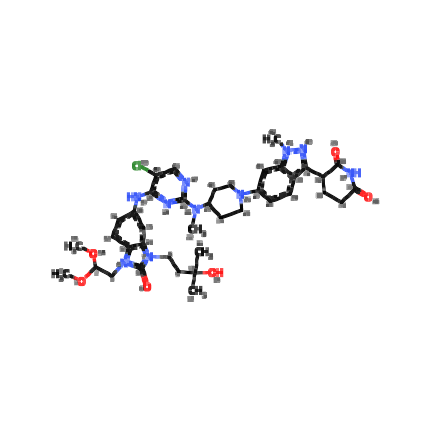 COC(Cn1c(=O)n(CCC(C)(C)O)c2cc(Nc3nc(N(C)C4CCN(c5ccc6c(C7CCC(=O)NC7=O)nn(C)c6c5)CC4)ncc3Cl)ccc21)OC